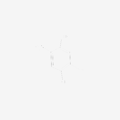 O=Cc1cc(Br)c(C(F)(F)F)cc1[N+](=O)[O-]